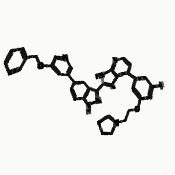 Fc1cc(OCCN2CCCC2)cc(-c2ccnc3[nH]c(-c4n[nH]c5ccc(-c6cncc(OCc7ccccc7)c6)cc45)nc23)c1